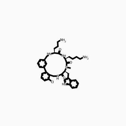 CN1C(=O)[C@H](CCCCN)NC(=O)[C@H](CCCN)NCc2cccc(c2)-c2cccc(Cl)c2CNC(=O)[C@@H]1Cc1c[nH]c2ccccc12